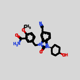 COc1ccc(Cn2c(=O)n([C@H]3CC[C@H](O)CC3)c3ccc(C#N)cc32)cc1C(N)=O